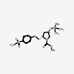 CC(C)(C)OC(=O)N1C[C@H](O[Si](C)(C)C(C)(C)C)C[C@H]1CSc1ccc(S(N)(=O)=O)cc1